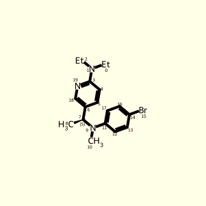 CCN(CC)c1ccc([C@H](C)N(C)c2ccc(Br)cc2)cn1